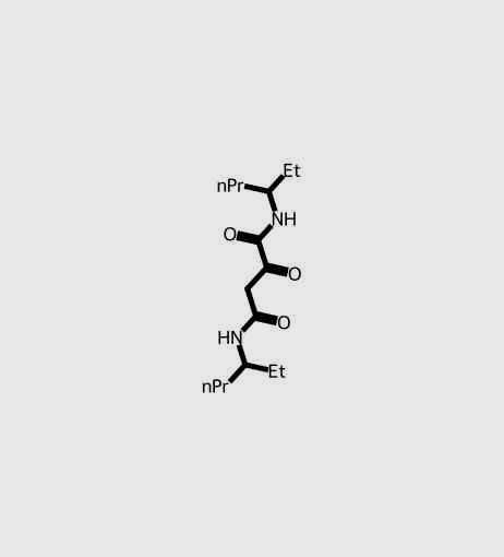 CCCC(CC)NC(=O)CC(=O)C(=O)NC(CC)CCC